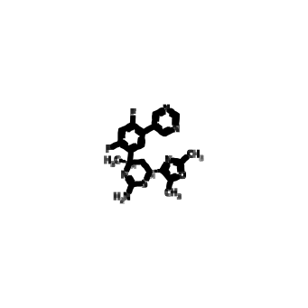 Cc1nc([C@H]2C[C@](C)(c3cc(-c4cncnc4)c(F)cc3F)N=C(N)S2)c(C)o1